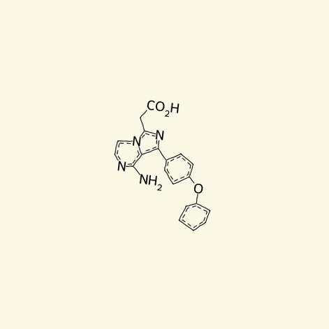 Nc1nccn2c(CC(=O)O)nc(-c3ccc(Oc4ccccc4)cc3)c12